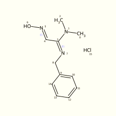 CN(C)C(/C=N/O)=N/Cc1ccccc1.Cl